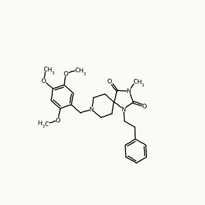 COc1cc(OC)c(OC)cc1CN1CCC2(CC1)C(=O)N(C)C(=O)N2CCc1ccccc1